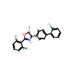 C[C@H]1OC(c2c(F)cccc2F)=N[C@@H]1c1ccc(-c2ccccc2F)cc1